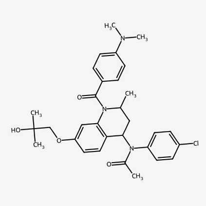 CC(=O)N(c1ccc(Cl)cc1)C1CC(C)N(C(=O)c2ccc(N(C)C)cc2)c2cc(OCC(C)(C)O)ccc21